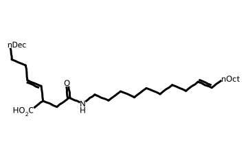 CCCCCCCC/C=C/CCCCCCCCNC(=O)CC(/C=C/CCCCCCCCCCCC)C(=O)O